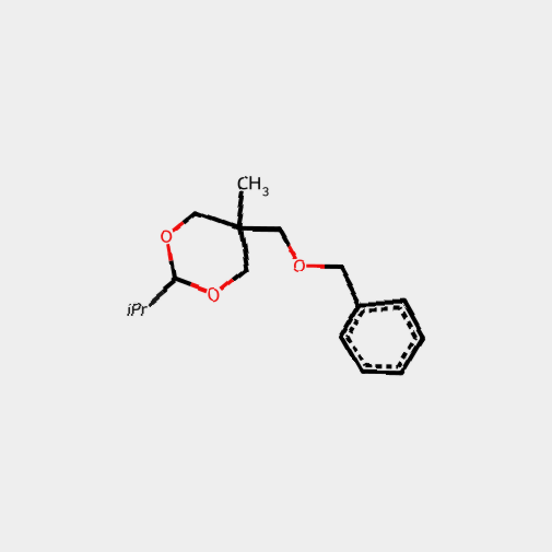 CC(C)C1OCC(C)(COCc2ccccc2)CO1